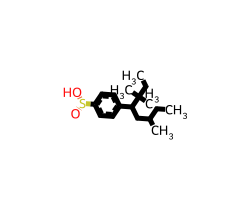 CCC(C)CC(c1ccc(S(=O)O)cc1)C(C)(C)CC